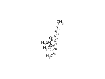 CCCCCCCCC(CCCCCC)C(=O)N(C)OC